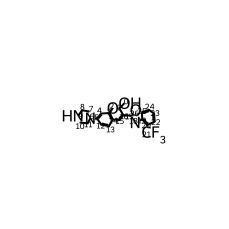 OC1Oc2cc(N3CCNCC3)ccc2C=C1c1nc2c(C(F)(F)F)cccc2o1